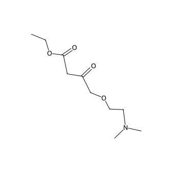 CCOC(=O)CC(=O)COCCN(C)C